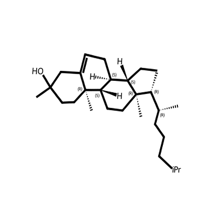 CC(C)CCC[C@@H](C)[C@H]1CC[C@H]2[C@@H]3CC=C4CC(C)(O)CC[C@]4(C)[C@H]3CC[C@]12C